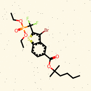 CCCCC(C)(C)OC(=O)c1ccc2sc(C(F)(F)P(=O)(OCC)OCC)c(Br)c2c1